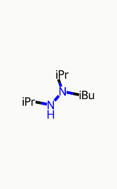 CCC(C)N(NC(C)C)C(C)C